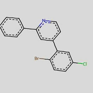 Clc1ccc(Br)c(-c2ccnc(-c3ccccc3)c2)c1